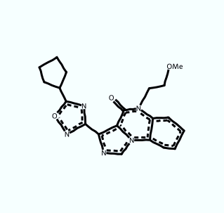 COCCn1c(=O)c2c(-c3noc(C4CCCC4)n3)ncn2c2ccccc21